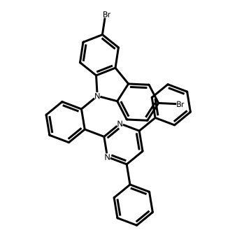 Brc1ccc2c(c1)c1cc(Br)ccc1n2-c1ccccc1-c1nc(-c2ccccc2)cc(-c2ccccc2)n1